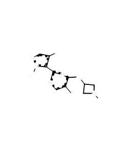 Cc1cnn(C)c1-c1ncc(F)c(OC2CN(C)C2)n1